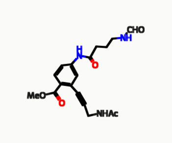 COC(=O)c1ccc(NC(=O)CCCNC=O)cc1C#CCNC(C)=O